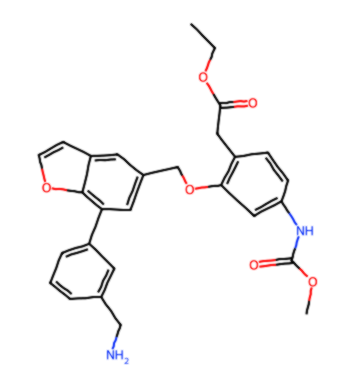 CCOC(=O)Cc1ccc(NC(=O)OC)cc1OCc1cc(-c2cccc(CN)c2)c2occc2c1